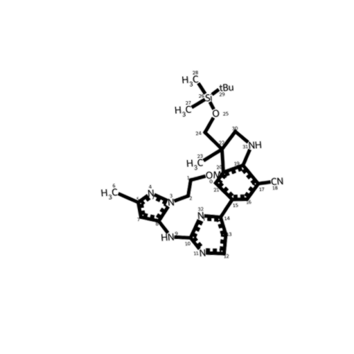 COCCn1nc(C)cc1Nc1nccc(-c2cc(C#N)c3c(c2)C(C)(CO[Si](C)(C)C(C)(C)C)CN3)n1